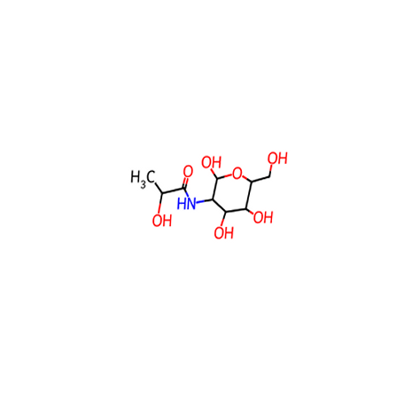 CC(O)C(=O)NC1C(O)OC(CO)C(O)C1O